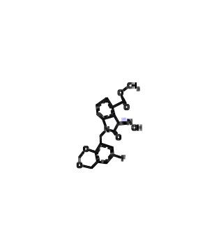 COC(=O)c1cccc2c1/C(=N/O)C(=O)N2Cc1cc(F)cc2c1OCOC2